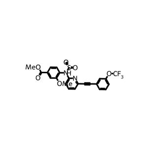 COC(=O)c1ccc(N(c2cccc(C#Cc3cccc(OC(F)(F)F)c3)n2)[SH](=O)=O)c(OC)c1